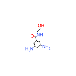 Nc1cc(N)cc(C(=O)NCCO)c1